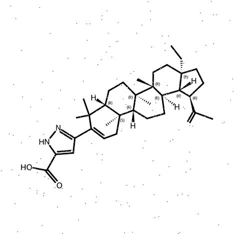 C=C(C)[C@@H]1CC[C@]2(CC)CC[C@]3(C)[C@H](CC[C@@H]4[C@@]5(C)CC=C(c6cc(C(=O)O)[nH]n6)C(C)(C)[C@@H]5CC[C@]43C)[C@@H]12